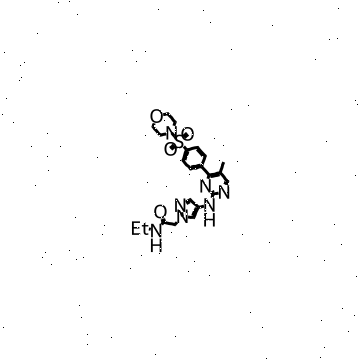 CCNC(=O)Cn1cc(Nc2ncc(C)c(-c3ccc(S(=O)(=O)N4CCOCC4)cc3)n2)cn1